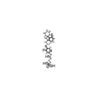 O=P(O)(O)CCCNCc1cc(F)c(SCCCCC2(c3ccccc3F)CCCCC2)cn1